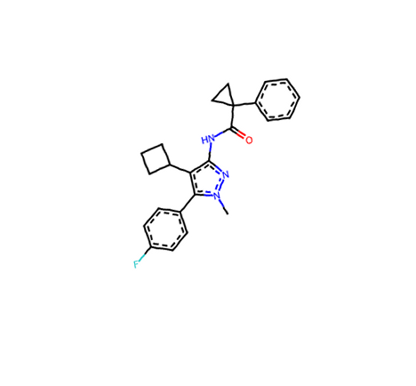 Cn1nc(NC(=O)C2(c3ccccc3)CC2)c(C2CCC2)c1-c1ccc(F)cc1